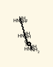 N=C(N)NCCCCCCCNC(=N)NCCOc1ccc(NC(=N)N)cn1